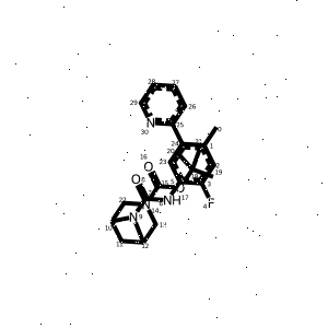 Cc1cc(F)c(NC(=O)N2C3CC2CN(C(=O)OC(C)(C)C)C3)cc1-c1ccccn1